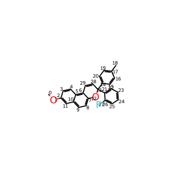 COc1ccc2c3c(ccc2c1)OC(c1ccc(C)cc1)(c1ccccc1F)C=C3